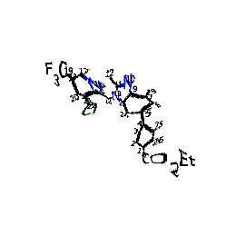 CCOC(=O)c1ccc(-c2cc(C)c3nc(C)n(Cc4ncc(C(F)(F)F)cc4Cl)c3c2)cc1